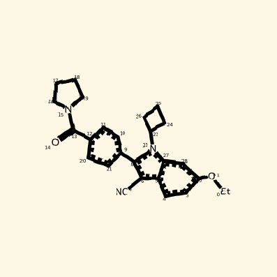 CCOc1ccc2c(C#N)c(-c3ccc(C(=O)N4CCCC4)cc3)n(C3CCC3)c2c1